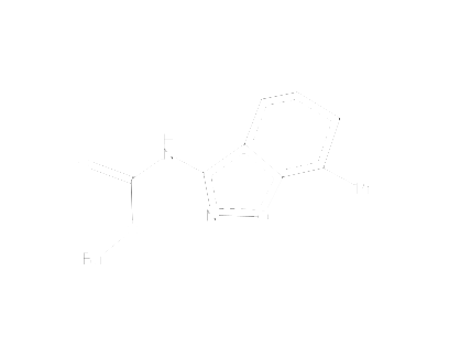 CC(C)(C)OC(=O)Nc1noc2c(Br)cccc12